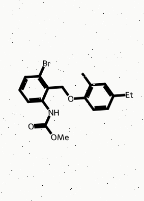 CCc1ccc(OCc2c(Br)cccc2NC(=O)OC)c(C)c1